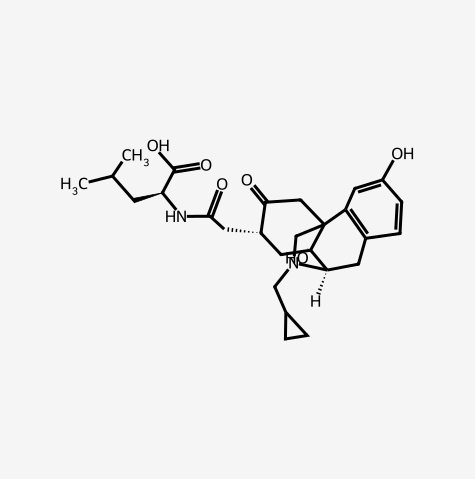 CC(C)C[C@H](NC(=O)C[C@H]1C[C@@]2(O)[C@H]3Cc4ccc(O)cc4C2(CC1=O)CN3CC1CC1)C(=O)O